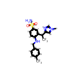 Cn1cnc(C(c2cc(S(N)(=O)=O)ccc2NCc2ccc(C(F)(F)F)cc2)C(F)(F)F)c1